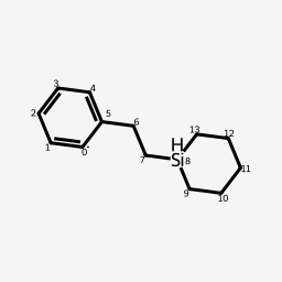 [c]1ccccc1CC[SiH]1CCCCC1